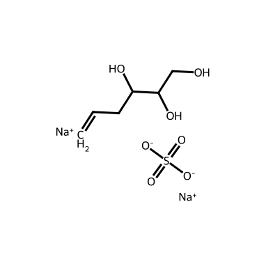 C=CCC(O)C(O)CO.O=S(=O)([O-])[O-].[Na+].[Na+]